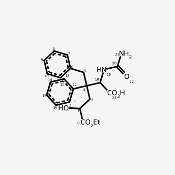 CCOC(=O)C(O)CC(Cc1ccccc1)(c1ccccc1)C(NC(N)=O)C(=O)O